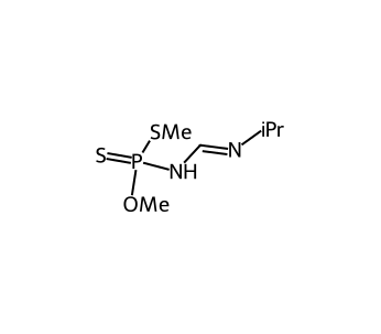 COP(=S)(NC=NC(C)C)SC